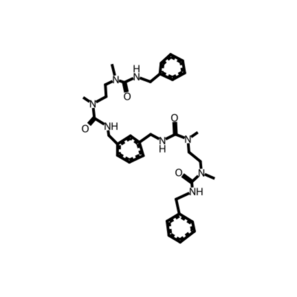 CN(CCN(C)C(=O)NCc1cccc(CNC(=O)N(C)CCN(C)C(=O)NCc2ccccc2)c1)C(=O)NCc1ccccc1